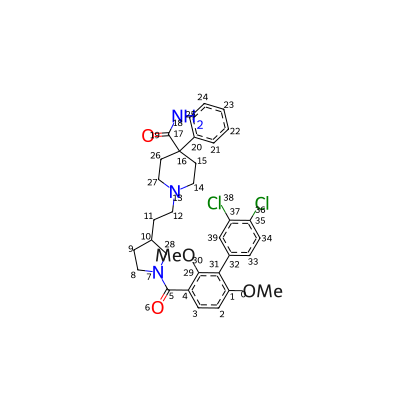 COc1ccc(C(=O)N2CCC(CCN3CCC(C(N)=O)(c4ccccc4)CC3)C2)c(OC)c1-c1ccc(Cl)c(Cl)c1